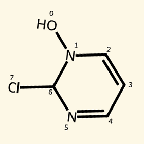 ON1C=CC=NC1Cl